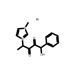 CC(C(=O)C(=O)C(O)c1ccccc1)[n+]1ccn(C)c1.[Br-]